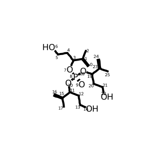 C=C(C)C(CCO)OP(=O)(OC(CCO)C(=C)C)OC(CCO)C(=C)C